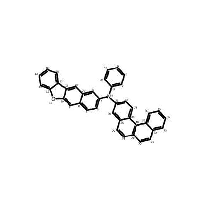 c1ccc(N(c2ccc3cc4oc5ccccc5c4cc3c2)c2ccc3c(ccc4ccc5ccccc5c43)c2)cc1